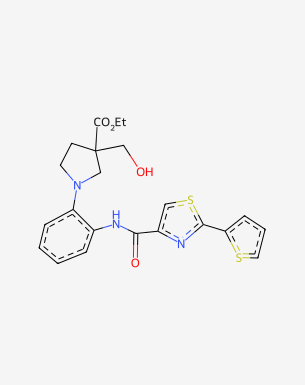 CCOC(=O)C1(CO)CCN(c2ccccc2NC(=O)c2csc(-c3cccs3)n2)C1